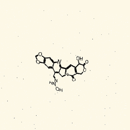 O=C1OCc2c(cc3n(c2=O)Cc2c-3nc3cc4c(cc3c2/C=N/NO)OCO4)C1O